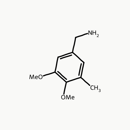 COc1cc(CN)cc(C)c1OC